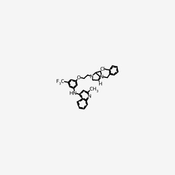 Cc1cc(Nc2cc(OCCN3C[C@@H]4CC3CN4Cc3ccccc3Cl)cc(C(F)(F)F)c2)c2ccccc2n1